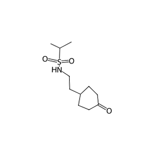 CC(C)S(=O)(=O)NCCC1CCC(=O)CC1